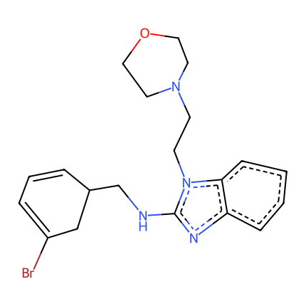 BrC1=CC=CC(CNc2nc3ccccc3n2CCN2CCOCC2)C1